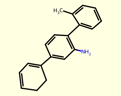 Cc1ccccc1-c1ccc(C2=CC=CCC2)cc1N